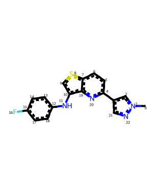 Cn1cc(-c2ccc3scc(Nc4ccc(F)cc4)c3n2)cn1